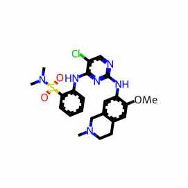 COc1cc2c(cc1Nc1ncc(Cl)c(Nc3ccccc3S(=O)(=O)N(C)C)n1)CN(C)CC2